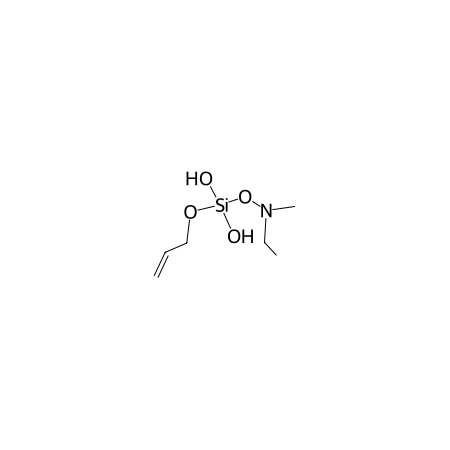 C=CCO[Si](O)(O)ON(C)CC